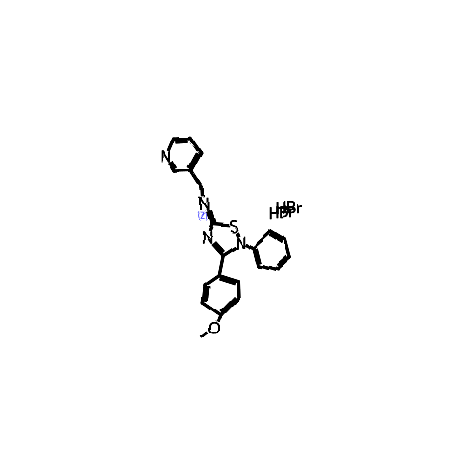 Br.Br.COc1ccc(-c2n/c(=N/Cc3cccnc3)sn2-c2ccccc2)cc1